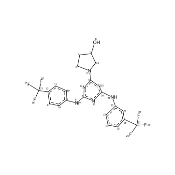 OC1CCN(c2nc(Nc3ccc(C(F)(F)F)cc3)nc(Nc3cccc(C(F)(F)F)c3)n2)C1